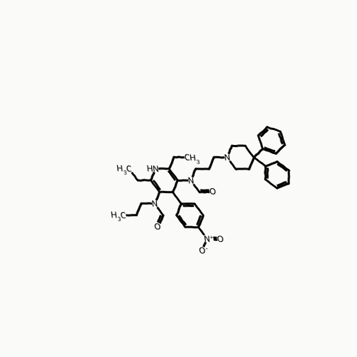 CCCN(C=O)C1=C(CC)NC(CC)=C(N(C=O)CCCN2CCC(c3ccccc3)(c3ccccc3)CC2)C1c1ccc([N+](=O)[O-])cc1